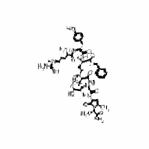 CC(C)[C@@H](NCC[C@@H](NC(=O)[C@@H](Cc1ccc(O)cc1)NC(=O)[C@H](N)CCCNC(=N)N)C(=O)OCc1ccccc1)C(=O)N[C@H](CCC(=O)O)C(=O)N[C@@H]1CC(C)N([C@H](C)C(N)=O)C1=O